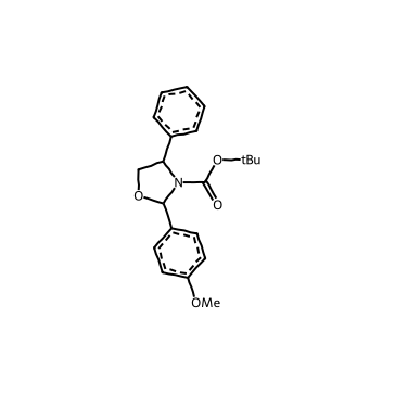 COc1ccc(C2OCC(c3ccccc3)N2C(=O)OC(C)(C)C)cc1